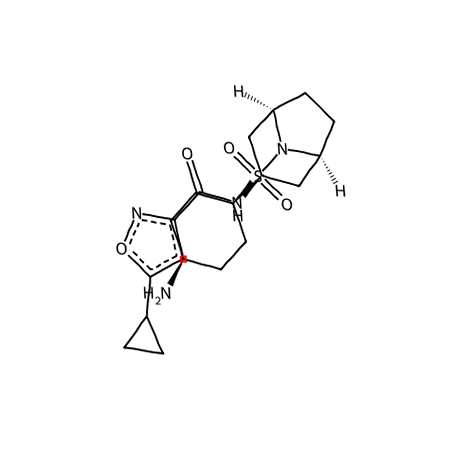 N[C@H]1CC[C@@H](S(=O)(=O)N2[C@@H]3CC[C@H]2C[C@@H](NC(=O)c2cc(C4CC4)on2)C3)CC1